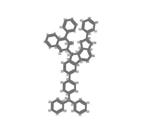 c1ccc(C2=c3ccccc3=NC(n3c4ccc(-c5ccc(N(c6ccccc6)c6ccccc6)cc5)cc4c4ccc5nc(-c6ccccc6)sc5c43)N2)cc1